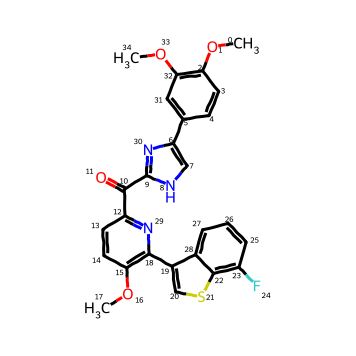 COc1ccc(-c2c[nH]c(C(=O)c3ccc(OC)c(-c4csc5c(F)cccc45)n3)n2)cc1OC